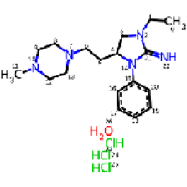 CCN1CC(CCN2CCN(C)CC2)N(c2ccccc2)C1=N.Cl.Cl.Cl.O